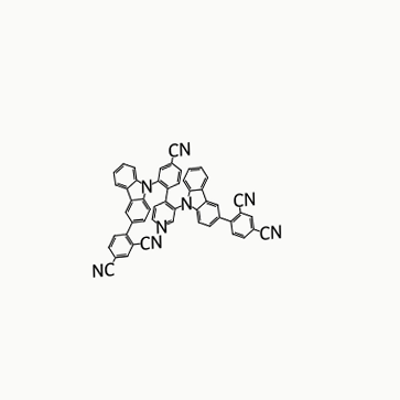 N#Cc1ccc(-c2ccc3c(c2)c2ccccc2n3-c2cnccc2-c2ccc(C#N)cc2-n2c3ccccc3c3cc(-c4ccc(C#N)cc4C#N)ccc32)c(C#N)c1